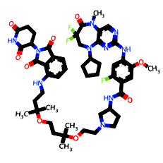 COc1cc(C(=O)NC2CCN(CCOC(C)(C)CCOC(C)(C)CCNc3cccc4c3C(=O)N(C3CCC(=O)NC3=O)C4=O)C2)c(F)cc1Nc1ncc2c(n1)N(C1CCCC1)CC(F)(F)C(=O)N2C